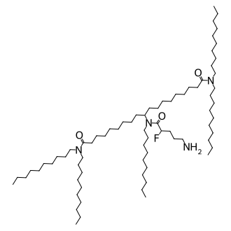 CCCCCCCCCCN(CCCCCCCCCC)C(=O)CCCCCCCCC(CCCCCCCCC(=O)N(CCCCCCCCCC)CCCCCCCCCC)N(CCCCCCCCCC)C(=O)C(F)CCCN